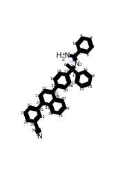 CC(/N=C(\N)c1ccccc1)(c1ccccc1)c1ccc(-c2ccc(-c3cccc(C#N)c3)c3ccccc23)cc1